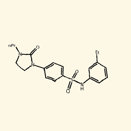 CCCN1CCN(c2ccc(S(=O)(=O)Nc3cccc(CC)c3)cc2)C1=O